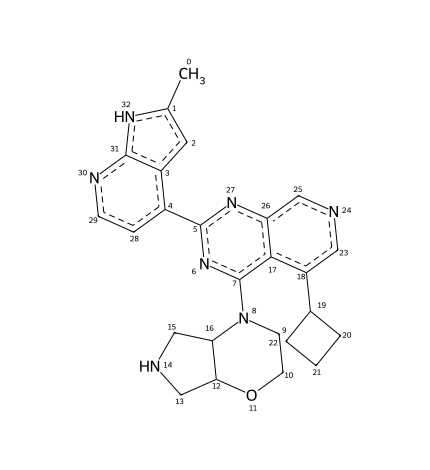 Cc1cc2c(-c3nc(N4CCOC5CNCC54)c4c(C5CCC5)cncc4n3)ccnc2[nH]1